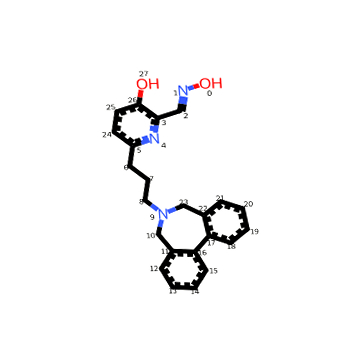 O/N=C/c1nc(CCCN2Cc3ccccc3-c3ccccc3C2)ccc1O